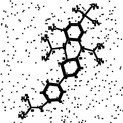 Cc1cc(C(C)(C)C)cc2c1N(C(C)C)c1cc(-c3ccc(OC(C)C)cc3)ccc1N2C(C)C